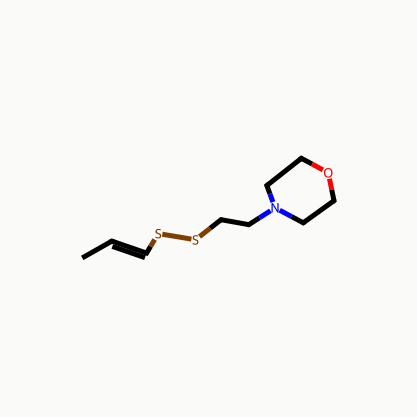 CC=CSSCCN1CCOCC1